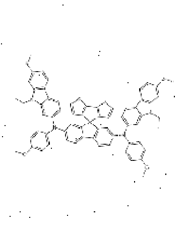 CCn1c2cc(SC)ccc2c2ccc(N(c3ccc(OC)cc3)c3ccc4c(c3)C3(c5cc(N(c6ccc(OC)cc6)c6ccc7c8ccc(SC)cc8n(CC)c7c6)ccc5-4)c4ccsc4-c4sccc43)cc21